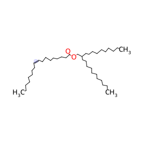 CCCCCCCC/C=C\CCCCCCCC(=O)OCC(CCCCCCCCCC)CCCCCCCCCCC